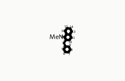 CNc1c(Cc2ccccc2)ccc2ccccc12